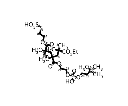 CCOC(=O)C(C)(C)CC(C)(CC(C)(Br)C(=O)OCCSS(=O)(=O)O)C(=O)OCCOP(=O)(O)OCC[N+](C)(C)C